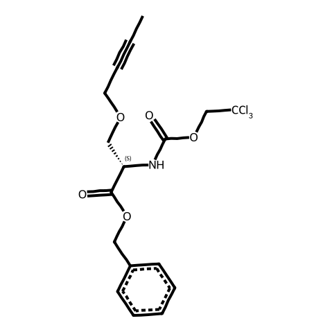 CC#CCOC[C@H](NC(=O)OCC(Cl)(Cl)Cl)C(=O)OCc1ccccc1